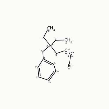 CC[N+](CC)(CC)Cc1ccccc1.[O-]Br